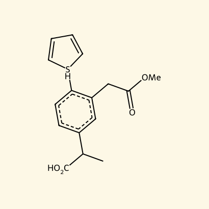 COC(=O)Cc1cc(C(C)C(=O)O)ccc1[SH]1C=CC=C1